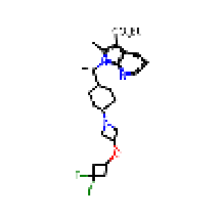 CCOC(=O)c1c(C)n([C@H](C)C2CCC(N3CC(OC4CC(F)(F)C4)C3)CC2)c2ncccc12